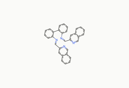 C(=Nc1ccccc1-c1ccccc1N=Cc1cc2ccccc2cn1)c1cc2ccccc2cn1